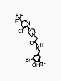 O=C(CN1CCN(c2ncc(C(F)(F)F)cc2Cl)CC1)N/N=C/c1cc(Br)c(O)c(Br)c1